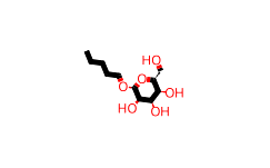 CCCCCO[C@@H]1O[C@H](CO)[C@H](O)[C@H](O)[C@H]1O